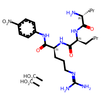 CC(=O)O.CC(=O)O.CC(C)C[C@H](NC(=O)[C@H](N)C(C)C)C(=O)N[C@@H](CCCN=C(N)N)C(=O)Nc1ccc([N+](=O)[O-])cc1